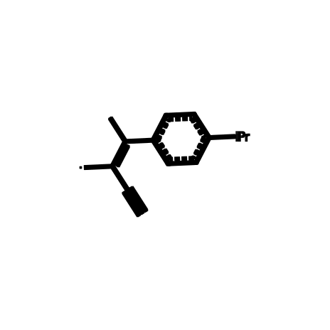 C#CC([CH2])=C(C)c1ccc(C(C)C)cc1